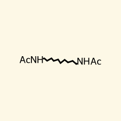 CC(=O)NCCCCCCCCCCNC(C)=O